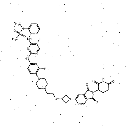 CN(c1ccccc1Nc1nc(Nc2ccc(N3CCN(CCOC4CN(c5ccc6c(c5)C(=O)N(C5CCC(=O)NC5=O)C6=O)C4)CC3)c(F)c2)ncc1Cl)S(C)(=O)=O